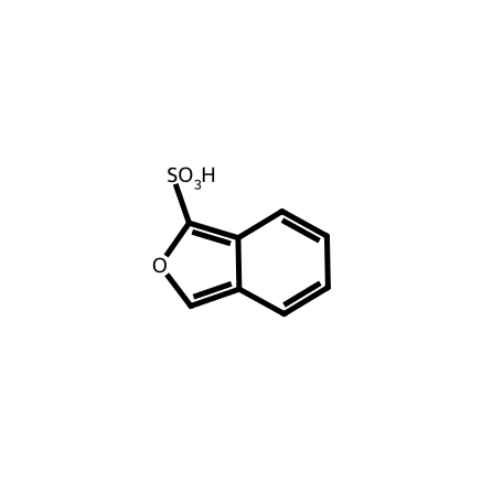 O=S(=O)(O)c1occ2ccccc12